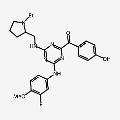 CCN1CCCC1CNc1nc(Nc2ccc(OC)c(F)c2)nc(C(=O)c2ccc(O)cc2)n1